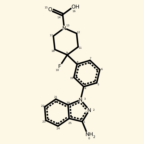 Nc1nn(-c2cccc(C3(F)CCN(C(=O)O)CC3)c2)c2ccccc12